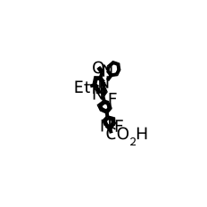 CCc1cc(C(=O)N2CCCCCC2C)nc2cc(-c3ccc(-c4cnc(C(=O)O)c(F)c4)cc3F)nn12